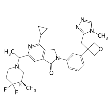 CC(c1cc2c(c(C3CC3)n1)CN(c1cccc(C3(Cc4nncn4C)COC3)c1)C2=O)N1CCC(F)(F)[C@H](C)C1